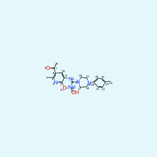 COc1nc(C)c(C(C)=O)cc1N=C(NO)N1CCN(c2ccc(C)cc2)CC1